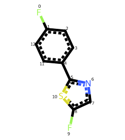 Fc1ccc(-c2n[c]c(F)s2)cc1